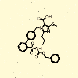 CCCc1nc(SC)c(C(=O)O)n1Cc1ccc(-c2ccccc2S(=O)(=O)NC(=O)OCc2ccccc2)cc1